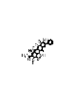 CC1c2cc(-c3ccccc3)c(N)c(O)c2C(=O)C2=C(O)C3(O)C(=O)C(C(N)=O)=C(O)C(N(C)C)C3C(O)C21